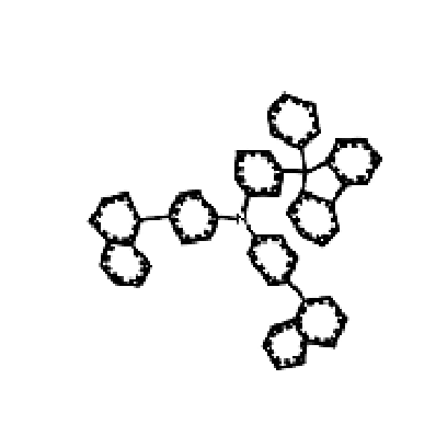 c1ccc(C2(c3cccc(N(c4ccc(-c5cccc6ccccc56)cc4)c4ccc(-c5cccc6ccccc56)cc4)c3)c3ccccc3-c3ccccc32)cc1